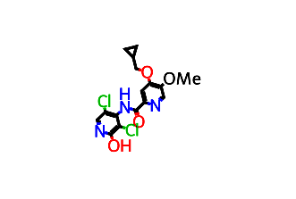 COc1cnc(C(=O)Nc2c(Cl)cnc(O)c2Cl)cc1OCC1CC1